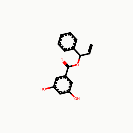 C=CC(OC(=O)c1cc(O)cc(O)c1)c1ccccc1